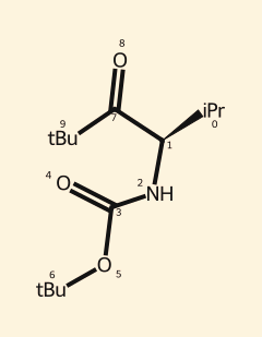 CC(C)[C@@H](NC(=O)OC(C)(C)C)C(=O)C(C)(C)C